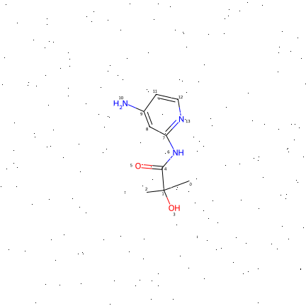 CC(C)(O)C(=O)Nc1cc(N)ccn1